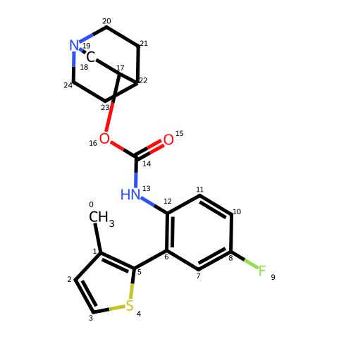 Cc1ccsc1-c1cc(F)ccc1NC(=O)OC1CN2CCC1CC2